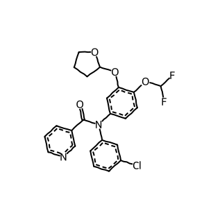 O=C(c1cccnc1)N(c1cccc(Cl)c1)c1ccc(OC(F)F)c(OC2CCCO2)c1